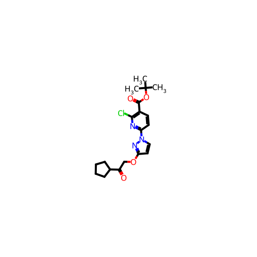 CC(C)(C)OC(=O)c1ccc(-n2ccc(OCC(=O)C3CCCC3)n2)nc1Cl